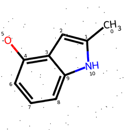 Cc1cc2c([O])cccc2[nH]1